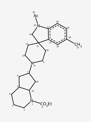 CCOC(=O)N1CCCC2CC(N3CCC4(CC3)CN(C(C)=O)c3ccc(C)cc34)CC21